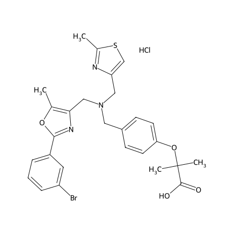 Cc1nc(CN(Cc2ccc(OC(C)(C)C(=O)O)cc2)Cc2nc(-c3cccc(Br)c3)oc2C)cs1.Cl